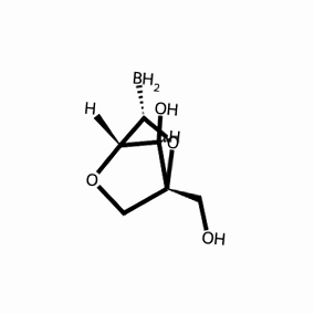 B[C@@H]1O[C@]2(CO)CO[C@H]1[C@H]2O